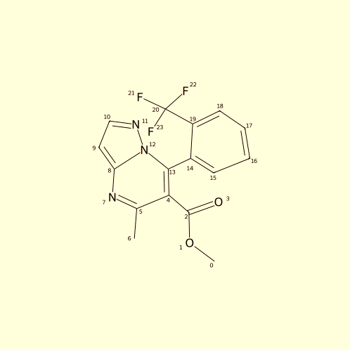 COC(=O)c1c(C)nc2ccnn2c1-c1ccccc1C(F)(F)F